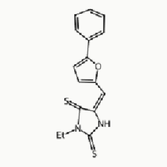 CCN1C(=S)N/C(=C/c2ccc(-c3ccccc3)o2)C1=S